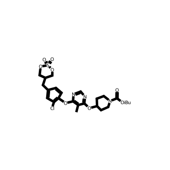 Cc1c(Oc2ccc(CC3COS(=O)(=O)OC3)cc2Cl)ncnc1OC1CCN(C(=O)OCC(C)C)CC1